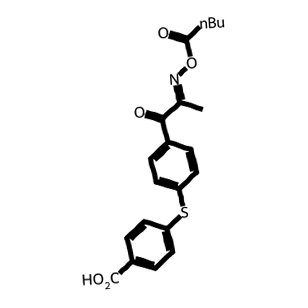 CCCCC(=O)O/N=C(\C)C(=O)c1ccc(Sc2ccc(C(=O)O)cc2)cc1